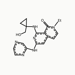 CCn1ccc2cc(Nc3cnccn3)nc(NC3(CO)CC3)c2c1=O